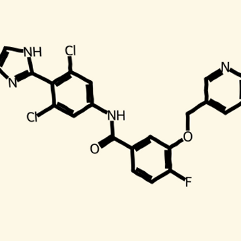 O=C(Nc1cc(Cl)c(-c2ncc[nH]2)c(Cl)c1)c1ccc(F)c(OCc2cccnc2)c1